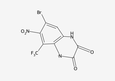 O=C1[N]c2c(cc(Br)c([N+](=O)[O-])c2C(F)(F)F)NC1=O